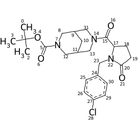 CC(C)(C)OC(=O)N1CC2CC(C1)CN(C(=O)C1CCC(=O)N1Cc1ccc(Cl)cc1)C2